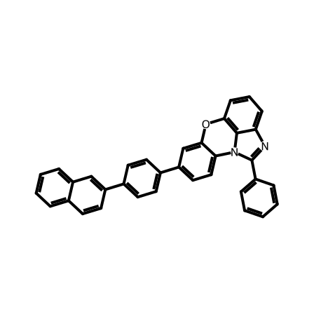 c1ccc(-c2nc3cccc4c3n2-c2ccc(-c3ccc(-c5ccc6ccccc6c5)cc3)cc2O4)cc1